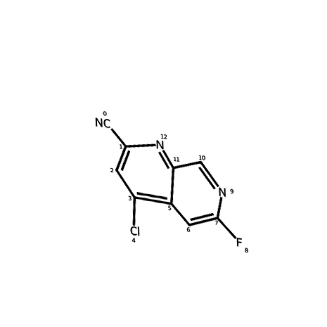 N#Cc1cc(Cl)c2cc(F)ncc2n1